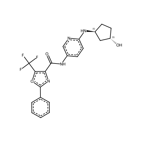 O=C(Nc1ccc(N[C@H]2CC[C@H](O)C2)nc1)c1nc(-c2ccccc2)oc1C(F)(F)F